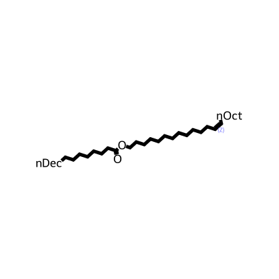 CCCCCCCC/C=C\CCCCCCCCCCCCOC(=O)CCCCCCCCCCCCCCCCC